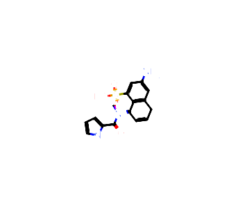 C[N+](C(=O)c1ccc[nH]1)=C1C=CCc2cc(N)cc(S(=O)(=O)O)c21